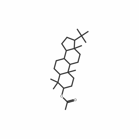 CC(=O)OC1CCC2(C)C3CCC4(C)C(CCC4C(C)(C)C)C3CCC2C1(C)C